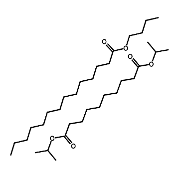 CC(C)OC(=O)CCCCCCCCC(=O)OC(C)C.CCCCCCCCCCCCCC(=O)OCCCC